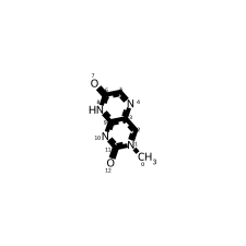 Cn1cc2ncc(=O)[nH]c2nc1=O